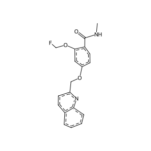 CNC(=O)c1ccc(OCc2ccc3ccccc3n2)cc1OCF